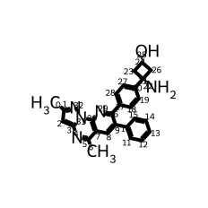 Cc1cc2nc(C)c3cc(-c4ccccc4)c(-c4ccc([C@]5(N)C[C@H](O)C5)cc4)nc3n2n1